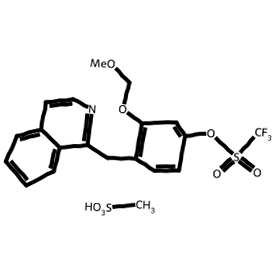 COCOc1cc(OS(=O)(=O)C(F)(F)F)ccc1Cc1nccc2ccccc12.CS(=O)(=O)O